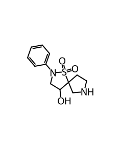 O=S1(=O)N(c2ccccc2)CC(O)C12CCNC2